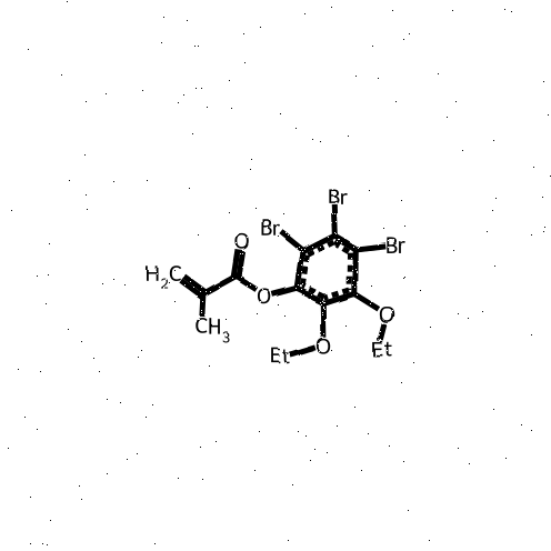 C=C(C)C(=O)Oc1c(Br)c(Br)c(Br)c(OCC)c1OCC